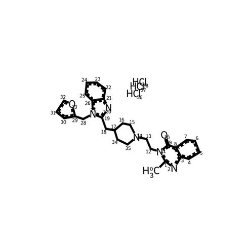 Cc1nc2ccccc2c(=O)n1CCN1CCC(Cc2nc3ccccc3n2Cc2ccco2)CC1.Cl.Cl.Cl